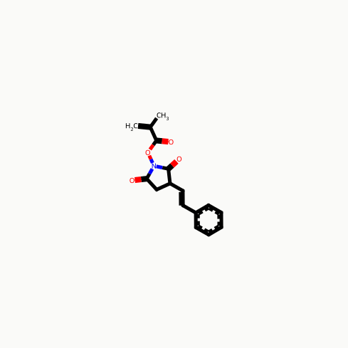 C=C(C)C(=O)ON1C(=O)CC(C=Cc2ccccc2)C1=O